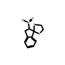 O=[N+]([O-])C1Cc2ccccc2C12SCCS2